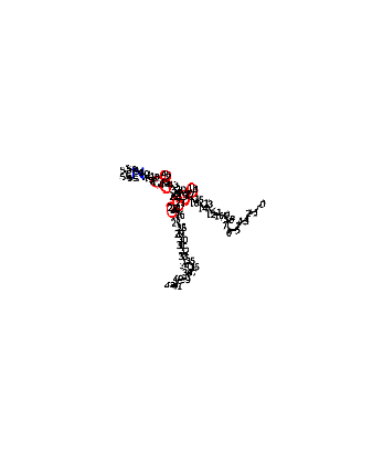 CCCCC/C=C\C/C=C\CCCCCCCC(=O)OCC(COC(=O)CCCCCCC/C=C\C/C=C\CCCCC)COC(=O)OCCCN1CCCC1